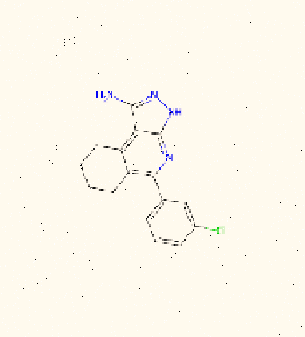 Nc1n[nH]c2nc(-c3cccc(Cl)c3)c3c(c12)CCCC3